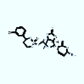 C=C1N=C(N)C=CN1[C@@H]1O[C@](C)(COP2(=O)OCCC(c3cccc(Cl)c3)O2)[C@H]2OC(=O)O[C@@H]12